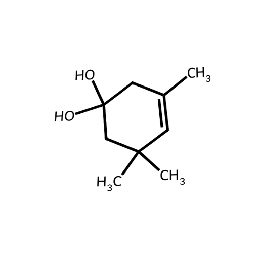 CC1=CC(C)(C)CC(O)(O)C1